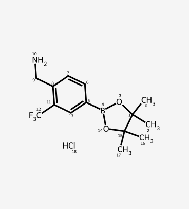 CC1(C)OB(c2ccc(CN)c(C(F)(F)F)c2)OC1(C)C.Cl